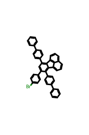 Brc1ccc(-c2cc(-c3ccc(-c4ccccc4)cc3)c3c(c2-c2ccc(-c4ccccc4)cc2)-c2cccc4cccc-3c24)cc1